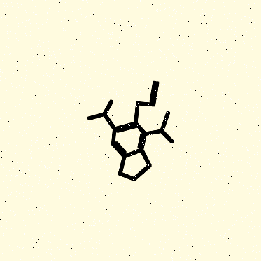 C=CCc1c(C(C)C)cc2c(c1C(C)C)CCC2